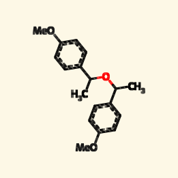 COc1ccc(C(C)OC(C)c2ccc(OC)cc2)cc1